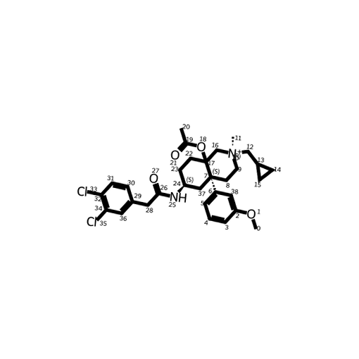 COc1cccc([C@@]23CC[N@+](C)(CC4CC4)CC2(OC(C)=O)CC[C@H](NC(=O)Cc2ccc(Cl)c(Cl)c2)C3)c1